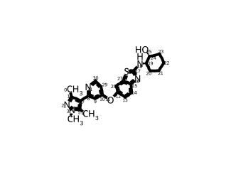 Cc1nn(C)c(C)c1-c1cc(Oc2ccc3nc(N[C@@H]4CCCC[C@H]4O)sc3c2)ccn1